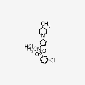 CC1CCN([C@H]2C=C[C@@H](N(C)S(=O)(=O)c3cccc(Cl)c3)C2)CC1.Cl